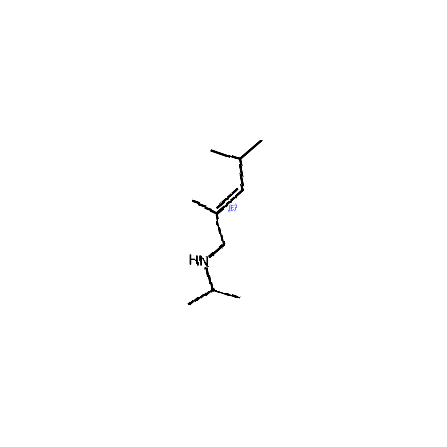 C/C(=C\C(C)C)CNC(C)C